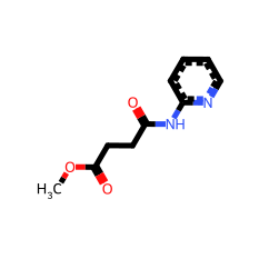 COC(=O)CCC(=O)Nc1ccccn1